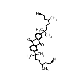 CC(CCC#N)CCCC(C)(C)c1ccc2c(c1)C(=O)c1cc(C(C)(C)CCCC(C)CCC#N)ccc1C2=O